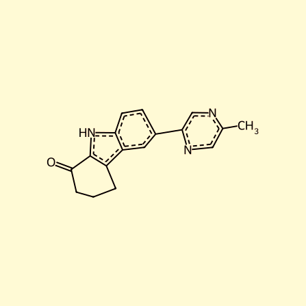 Cc1cnc(-c2ccc3[nH]c4c(c3c2)CCCC4=O)cn1